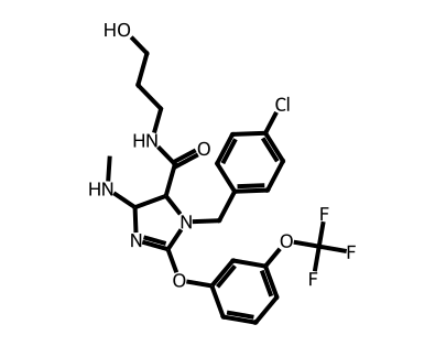 CNC1N=C(Oc2cccc(OC(F)(F)F)c2)N(Cc2ccc(Cl)cc2)C1C(=O)NCCCO